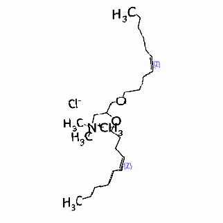 CCCCC/C=C\CCCOCC(C[N+](C)(C)C)OCCC/C=C\CCCCC.[Cl-]